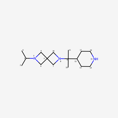 CC(C)N1CC2(C1)CN(C(C)(C)C1CCNCC1)C2